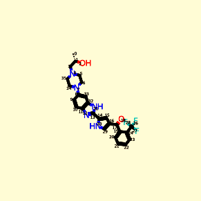 C[C@H](O)CN1CCN(c2ccc3nc(-c4cc(C(=O)c5ccccc5C(F)(F)F)c[nH]4)[nH]c3c2)CC1